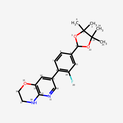 CC1(C)OC(c2ccc(-c3cnc4c(c3)OCCN4)c(F)c2)OC1(C)C